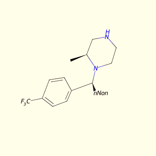 CCCCCCCCC[C@@H](c1ccc(C(F)(F)F)cc1)N1CCNC[C@@H]1C